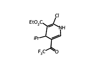 CCOC(=O)C1=C(Cl)NC=C(C(=O)C(F)(F)F)C1C(C)C